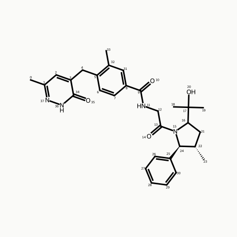 Cc1cc(Cc2ccc(C(=O)NCC(=O)N3C(C(C)(C)O)C[C@H](C)[C@H]3c3ccccc3)cc2C)c(=O)[nH]n1